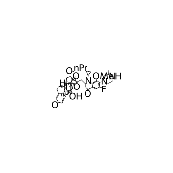 CCCC(=O)O[C@@]1(C(=O)Cc2cc(=O)c3cc(F)c(N4CCNC(C)C4)c(OC)c3n2C2CC2)CC[C@@H]2[C@H]3CCC4=CC(=O)C=C[C@@]4(C)C3[C@H](O)C[C@]21C